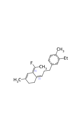 CCc1cc(CC/C=C2/CCC(C)=C/C2=C(/C)F)ccc1C